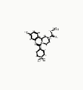 CC(C)(C)OC(=O)N1CCN(C(=O)C2CCS(=O)(=O)CC2)C(c2ccc(F)cc2)C1